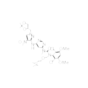 COc1cc(OC)c(Cl)c(N(COCC[Si](C)(C)C)C(=O)N(C)c2cc(Nc3nn(C[C@@H]4COC(C)(C)O4)cc3[N+](=O)[O-])ncn2)c1Cl